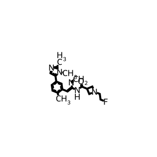 C=N/C(=C\c1cc(-c2cnc(C)n2C)ccc1C)NC(=O)C1CN(CCF)C1